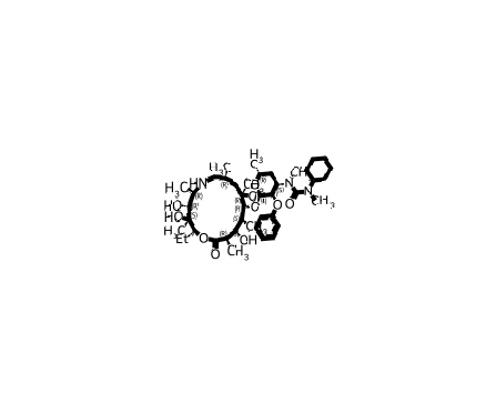 CC[C@H]1OC(=O)[C@H](C)[C@@H](O)[C@H](C)[C@@H](O[C@@H]2O[C@H](C)C[C@H](N(C)C(=O)N(C)C3CCCCC3)[C@H]2Oc2ccccc2)[C@](C)(O)C[C@@H](C)CN[C@H](C)[C@@H](O)[C@]1(C)O